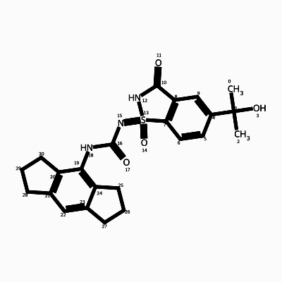 CC(C)(O)c1ccc2c(c1)C(=O)NS2(=O)=NC(=O)Nc1c2c(cc3c1CCC3)CCC2